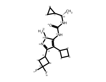 C[C@H](NC(=O)Nc1c(C2CCC2)c(C2CC(F)(F)C2)nn1C)C1CC1